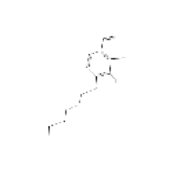 CCCCCCCc1ccc([C]=O)c(F)c1F